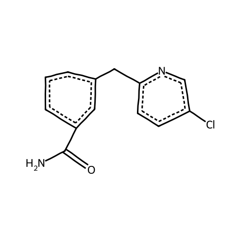 NC(=O)c1cccc(Cc2ccc(Cl)cn2)c1